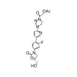 CC(=O)OCC(=O)N1CCN(c2ccc(-c3ccc(N4C[C@H](CO)OC4=O)cc3F)cn2)C=N1